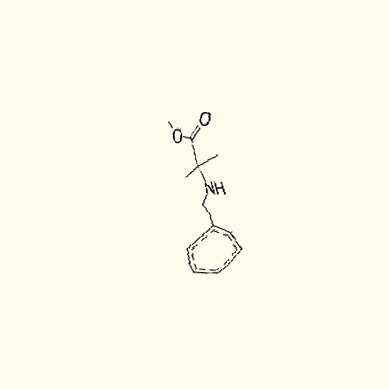 COC(=O)C(C)(C)NCc1ccccc1